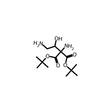 CC(C)(C)OC(=O)C(N)(C(=O)OC(C)(C)C)C(O)CN